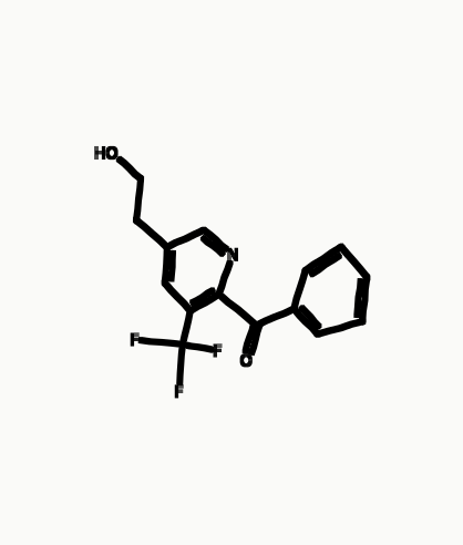 O=C(c1ccccc1)c1ncc(CCO)cc1C(F)(F)F